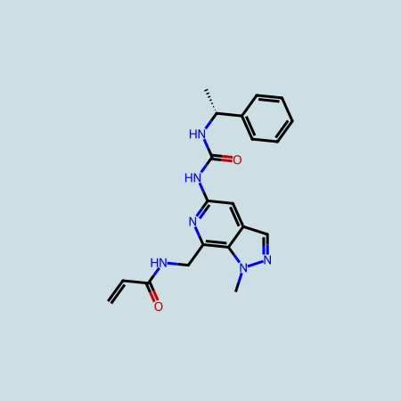 C=CC(=O)NCc1nc(NC(=O)N[C@H](C)c2ccccc2)cc2cnn(C)c12